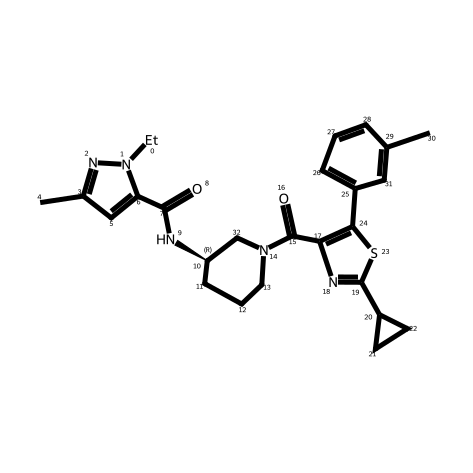 CCn1nc(C)cc1C(=O)N[C@@H]1CCCN(C(=O)c2nc(C3CC3)sc2-c2cccc(C)c2)C1